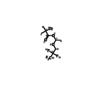 CCC(C)(C)C(=O)OC(C)OCC(F)(F)C(F)(F)F